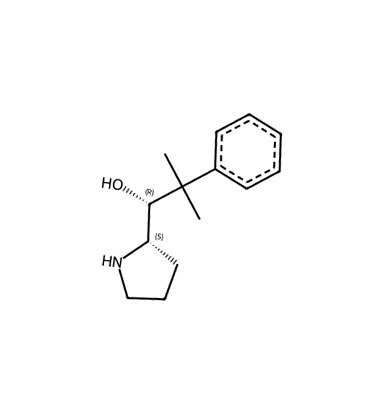 CC(C)(c1ccccc1)[C@@H](O)[C@@H]1CCCN1